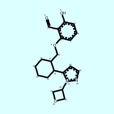 O=Cc1c(O)cccc1OCC1CCCCC1c1ccnn1C1COC1